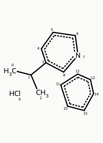 CC(C)c1cccnc1.Cl.c1ccccc1